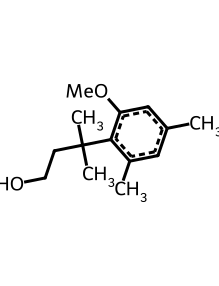 COc1cc(C)cc(C)c1C(C)(C)CCO